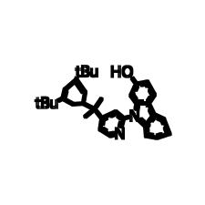 CC(C)(C)C1=CC(C(C)(C)c2ccnc(-n3c4ccccc4c4ccc(O)cc43)c2)CC(C(C)(C)C)=C1